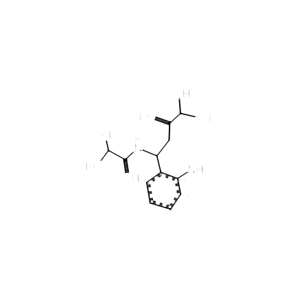 C=C(CC(NC(=C)C(C)C)c1ccccc1N)C(C)C